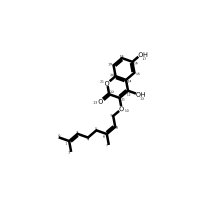 CC(C)=CCCC(C)=CCOc1c(O)c2cc(O)ccc2oc1=O